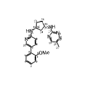 COc1ccccc1-c1ccc(N[C@H]2CC[C@H](Nc3ncc(C)nn3)C2)nc1